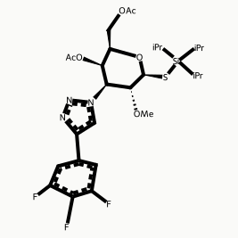 CO[C@@H]1[C@@H](n2cc(-c3cc(F)c(F)c(F)c3)nn2)[C@@H](OC(C)=O)[C@@H](COC(C)=O)O[C@H]1S[Si](C(C)C)(C(C)C)C(C)C